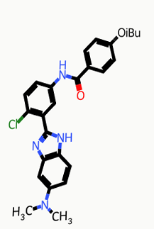 CC(C)COc1ccc(C(=O)Nc2ccc(Cl)c(-c3nc4cc(N(C)C)ccc4[nH]3)c2)cc1